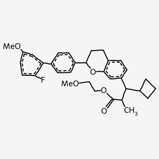 COCCOC(=O)C(C)C(c1ccc2c(c1)OC(c1ccc(-c3cc(OC)ccc3F)cc1)CC2)C1CCC1